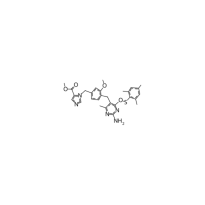 COC(=O)c1cncn1Cc1ccc(Cc2c(C)nc(N)nc2OSc2c(C)cc(C)cc2C)c(OC)c1